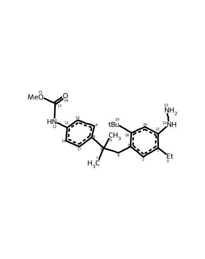 CCc1cc(CC(C)(C)c2ccc(NC(=O)OC)cc2)c(C(C)(C)C)cc1NN